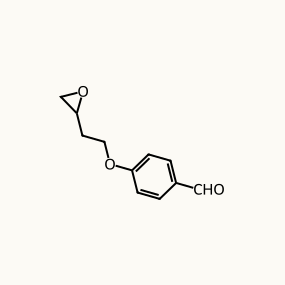 O=Cc1ccc(OCCC2CO2)cc1